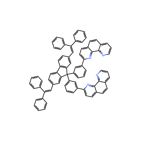 C(=C(c1ccccc1)c1ccccc1)c1ccc2c(c1)C(c1cccc(-c3ccc4ccc5cccnc5c4n3)c1)(c1cccc(-c3ccc4ccc5cccnc5c4n3)c1)c1cc(C=C(c3ccccc3)c3ccccc3)ccc1-2